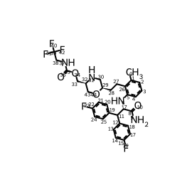 Cc1cccc(N[C@H](C(N)=O)C(c2ccc(F)cc2)c2ccc(F)cc2)c1CC[C@@H]1CN[C@H](COC(=O)NCC(F)(F)F)CO1